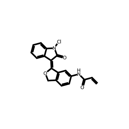 C=CC(=O)Nc1ccc2c(c1)C(=C1C(=O)N(Cl)c3ccccc31)OC2